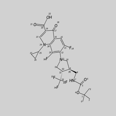 CC(C)(C)OC(=O)NC[C@@H]1CN(c2c(F)cc3c(=O)c(C(=O)O)cn(C4CC4)c3c2F)C[C@H]1C(F)(F)F